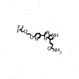 NC(=O)C=Cc1c[nH]c2ncc(-c3ccc(OCCOCC(F)(F)F)nc3)nc12